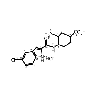 Cl.NC1CC(C(=O)O)CCC1NC(=O)c1cc2cc(Cl)ccc2[nH]1